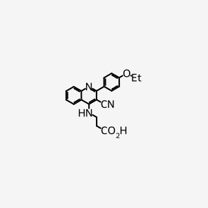 CCOc1ccc(-c2nc3ccccc3c(NCCC(=O)O)c2C#N)cc1